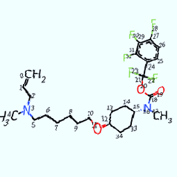 C=CCN(C)CCCCCCO[C@H]1CC[C@H](N(C)C(=O)OC(F)(F)c2ccc(F)c(F)c2F)CC1